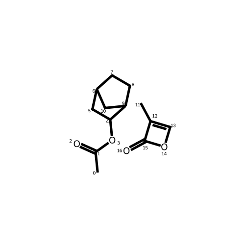 CC(=O)OC1CC2CCC1C2.CC1=COC1=O